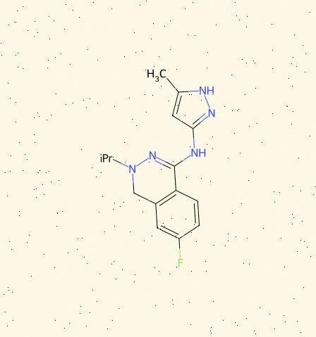 Cc1cc(NC2=NN(C(C)C)Cc3cc(F)ccc32)n[nH]1